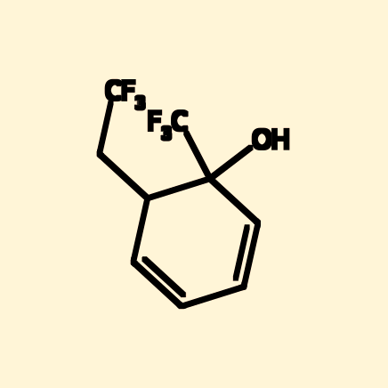 OC1(C(F)(F)F)C=CC=CC1CC(F)(F)F